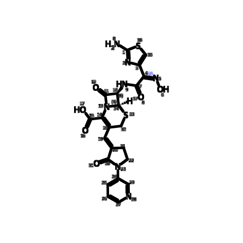 Nc1nc(/C(=N/O)C(=O)N[C@@H]2C(=O)N3C(C(=O)O)=C(C=C4CCN(c5cccnc5)C4=O)CS[C@H]23)cs1